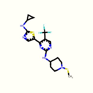 CSN1CCC(Nc2ncc(C(F)(F)F)c(-c3cnc(NC4CC4)s3)n2)CC1